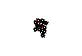 N#Cc1cccc(-c2ccc(-n3c4ccccc4c4ccc5c6ccccc6oc5c43)cc2-c2nc(-c3ccccc3)nc(-c3ccccc3)n2)c1-n1c2ccccc2c2ccc3c4ccccc4oc3c21